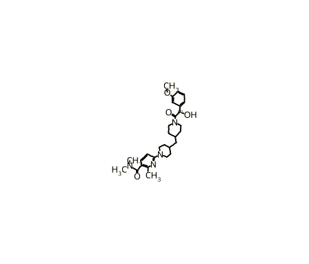 COc1cccc([C@@H](O)C(=O)N2CCC(CC3CCN(c4ccc(C(=O)N(C)C)c(C)n4)CC3)CC2)c1